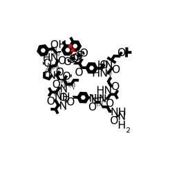 CC[C@H](C)[C@@H]([C@@H](CC(=O)N1CCC[C@H]1[C@H](OC)[C@@H](C)C(=O)N[C@H](C)[C@@H](O)c1ccccc1)OC)N(C)C(=O)[C@@H](NC(=O)C(C(C)C)N(C)C(=O)OCc1ccc(NC(=O)[C@H](CCCNC(N)=O)NC(=O)C(NC(=O)CC[C@H](NC(=O)c2ccc(C(=O)C(CS(=O)(=O)c3ccc(C)cc3)CS(=O)(=O)c3ccc(C)cc3)cc2)C(=O)NC(C)(C)CCOC(C)(C)C)C(C)C)cc1)C(C)C